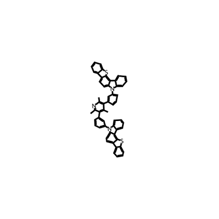 Cc1nc(C)c(-c2cccc(-n3c4ccccc4c4c5sc6ccccc6c5ccc43)c2)c(C)c1-c1cccc(-n2c3ccccc3c3c4sc5ccccc5c4ccc32)c1